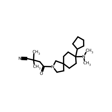 CN(C)C1(C2CCCC2)CCC2(CCN(C(=O)CC(C)(C)C#N)C2)CC1